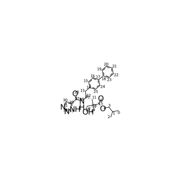 CC(C)COC(=O)[C@](C)(CO)C[C@@H](Cc1ccc(-c2ccccc2)cc1)NC(=O)c1cnn[nH]1